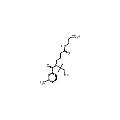 CC(C)(C)CC(C)(C)N(CCCC(=O)NCCC(=O)O)C(=O)c1cccc(C(F)(F)F)c1